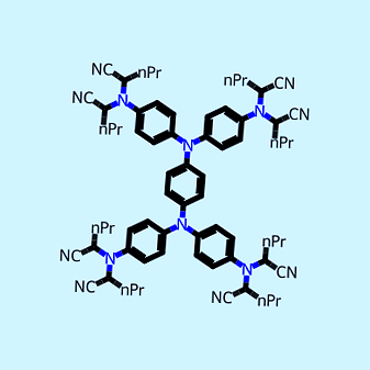 CCCC(C#N)N(c1ccc(N(c2ccc(N(c3ccc(N(C(C#N)CCC)C(C#N)CCC)cc3)c3ccc(N(C(C#N)CCC)C(C#N)CCC)cc3)cc2)c2ccc(N(C(C#N)CCC)C(C#N)CCC)cc2)cc1)C(C#N)CCC